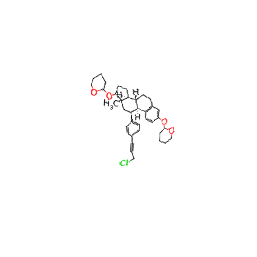 C[C@]12C[C@H](c3ccc(C#CCCl)cc3)[C@@H]3c4ccc(OC5CCCCO5)cc4CC[C@H]3[C@@H]1CC[C@@H]2OC1CCCCO1